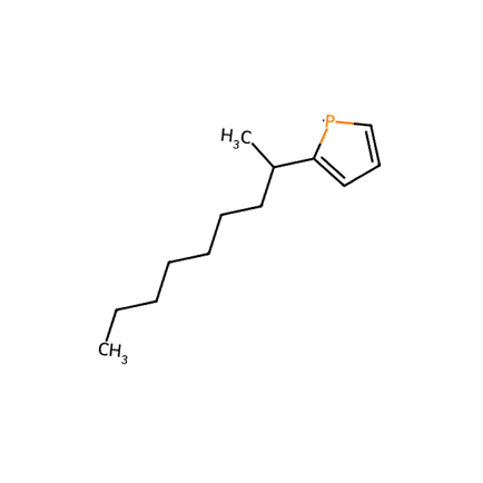 CCCCCCCC(C)C1=CC=C[P]1